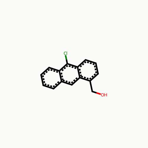 OCc1cccc2c(Cl)c3ccccc3cc12